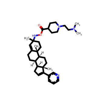 CN(C)CCN1CCC(C(=O)ONC2(C)C=C3CC[C@H]4[C@H](CC[C@]5(C)C(c6cccnc6)=CC[C@@H]45)[C@@]3(C)CC2)CC1